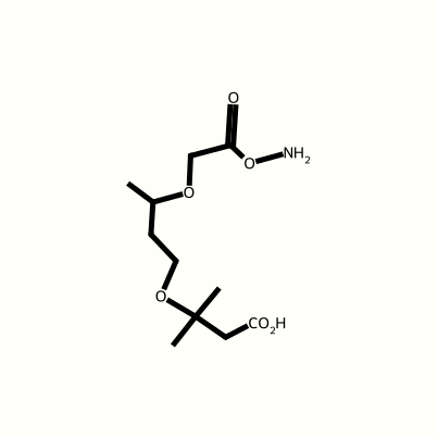 CC(CCOC(C)(C)CC(=O)O)OCC(=O)ON